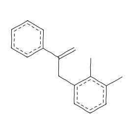 C=C(Cc1cccc(C)c1C)c1ccccc1